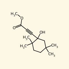 COC(=O)C#CC1(O)CC(C)(C)CCC1(C)C